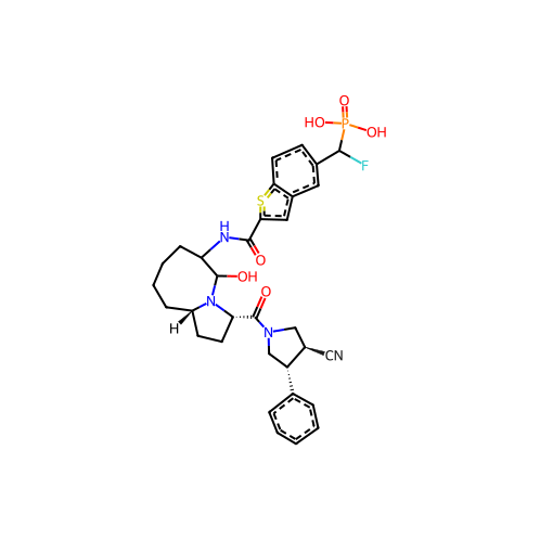 N#C[C@@H]1CN(C(=O)[C@@H]2CC[C@@H]3CCCCC(NC(=O)c4cc5cc(C(F)P(=O)(O)O)ccc5s4)C(O)N32)C[C@H]1c1ccccc1